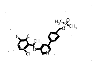 CC(Oc1cncc(-c2ccc(COP(C)(C)=O)cc2)c1)c1c(Cl)ccc(F)c1Cl